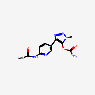 CNC(=O)Nc1ccc(-c2nnn(C)c2OC(N)=O)cn1